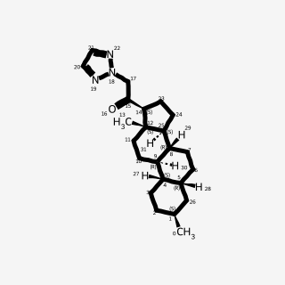 C[C@H]1CC[C@H]2[C@H](CC[C@@H]3[C@@H]2CC[C@]2(C)[C@@H](C(=O)Cn4nccn4)CC[C@@H]32)C1